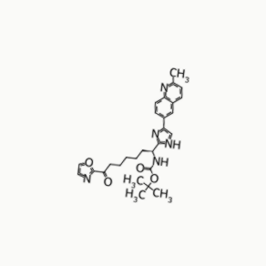 Cc1ccc2cc(-c3c[nH]c([C@H](CCCCCC(=O)c4ncco4)NC(=O)OC(C)(C)C)n3)ccc2n1